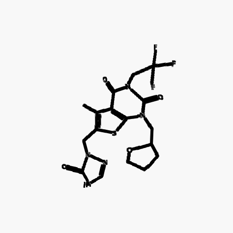 Cc1c(Cn2nc[nH]c2=O)sc2c1c(=O)n(CC(F)(F)F)c(=O)n2CC1CCCO1